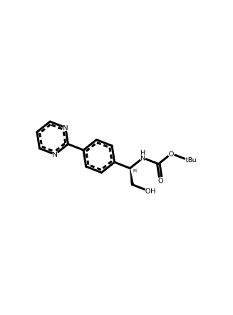 CC(C)(C)OC(=O)N[C@@H](CO)c1ccc(-c2ncccn2)cc1